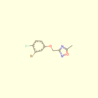 Cc1nc(COc2ccc(F)c(Br)c2)no1